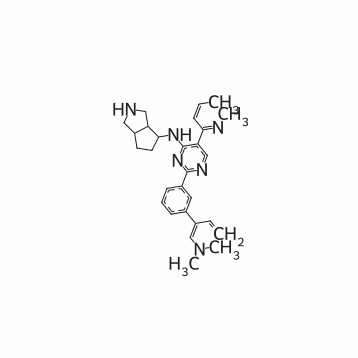 C=C/C(=C\N(C)C)c1cccc(-c2ncc(C(/C=C\C)=N/C)c(NC3CCC4CNCC43)n2)c1